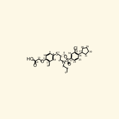 CCCN(C[C@@H](C)Sc1ccc(OCC(=O)O)c(C)c1)S(=O)(=O)c1ccc(C2CCCC2)c(Cl)c1